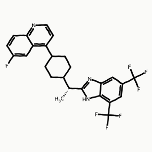 C[C@@H](c1nc2cc(C(F)(F)F)cc(C(F)(F)F)c2[nH]1)C1CCC(c2ccnc3ccc(F)cc23)CC1